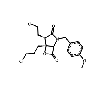 COc1ccc(CN2C(=O)[C@H](CCCl)[C@@]3(CCCCl)OC(=O)C23)cc1